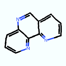 c1cnc2c(c1)cnc1cccnc12